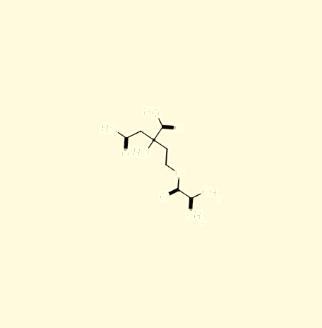 C=C(C)C(=O)OCCC(O)(CC(=O)O)C(=O)O